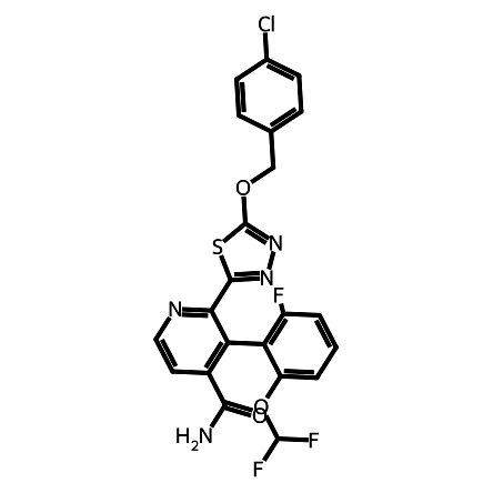 NC(=O)c1ccnc(-c2nnc(OCc3ccc(Cl)cc3)s2)c1-c1c(F)cccc1OC(F)F